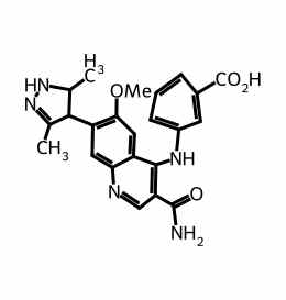 COc1cc2c(Nc3cccc(C(=O)O)c3)c(C(N)=O)cnc2cc1C1C(C)=NNC1C